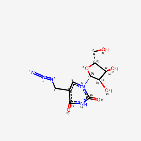 [N-]=[N+]=NCc1cn([C@@H]2O[C@H](CO)[C@@H](O)[C@H]2O)c(=O)[nH]c1=O